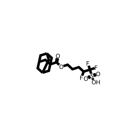 O=C(OCCCC(F)C(F)(F)S(=O)(=O)O)C12CC3CC(CC(C3)C1)C2